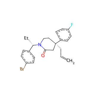 C=CC[C@@]1(c2ccc(F)cc2)CCN([C@@H](CC)c2ccc(Br)cc2)C(=O)C1